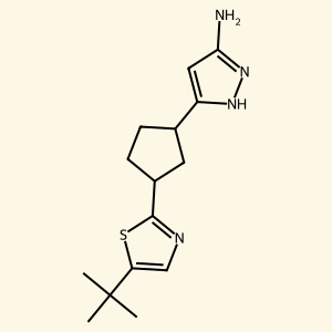 CC(C)(C)c1cnc(C2CCC(c3cc(N)n[nH]3)C2)s1